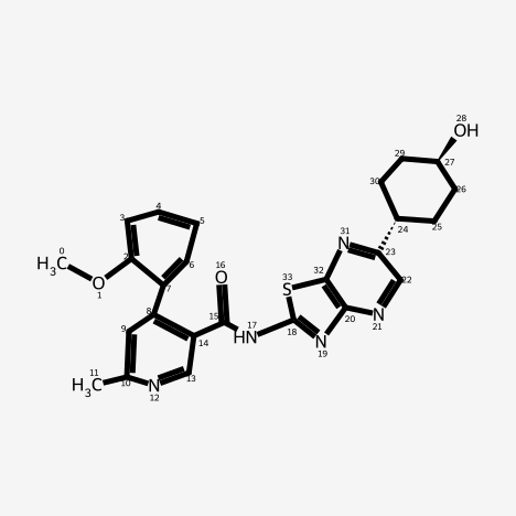 COc1ccccc1-c1cc(C)ncc1C(=O)Nc1nc2ncc([C@H]3CC[C@H](O)CC3)nc2s1